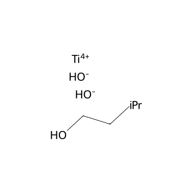 CC(C)CCO.[OH-].[OH-].[Ti+4]